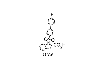 COc1cccc2c1CC(C(=O)O)N2S(=O)(=O)c1ccc(-c2ccc(F)cc2)cc1